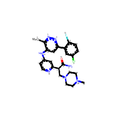 COc1nnc(-c2cc(Cl)ccc2F)cc1Nc1ccnc(C(CN2CCN(C)CC2)C(N)=O)c1